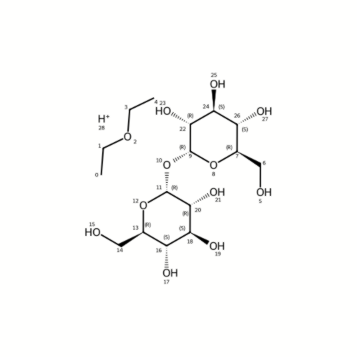 CCOCC.OC[C@H]1O[C@H](O[C@H]2O[C@H](CO)[C@@H](O)[C@H](O)[C@H]2O)[C@H](O)[C@@H](O)[C@@H]1O.[H+]